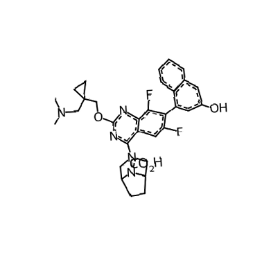 CN(C)CC1(COc2nc(N3CC4CCC(C3)N4C(=O)O)c3cc(F)c(-c4cc(O)cc5ccccc45)c(F)c3n2)CC1